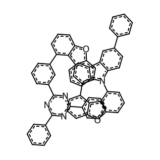 c1ccc(-c2ccc3c(c2)c2ccccc2n3-c2cccc3oc4cccc(-c5ccc6oc7cccc(-c8cccc(-c9nc(-c%10ccccc%10)nc(-c%10ccccc%10)n9)c8)c7c6c5)c4c23)cc1